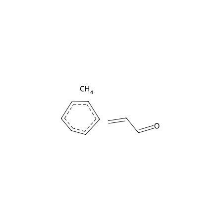 C.C=CC=O.c1ccccc1